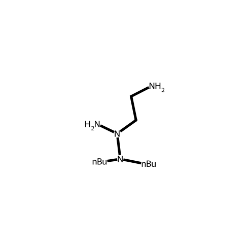 CCCCN(CCCC)N(N)CCN